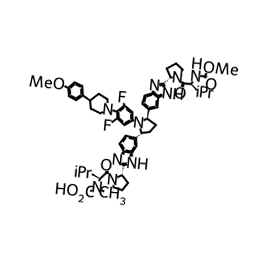 COC(=O)N[C@H](C(=O)N1CCC[C@H]1c1nc2ccc([C@H]3CC[C@H](c4ccc5nc([C@@H]6CCCN6C(=O)[C@H](C(C)C)N(C)C(=O)O)[nH]c5c4)N3c3cc(F)c(N4CCC(c5ccc(OC)cc5)CC4)c(F)c3)cc2[nH]1)C(C)C